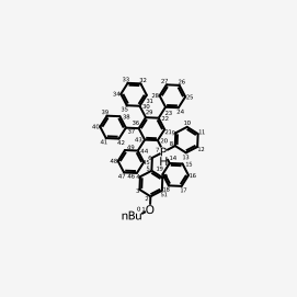 CCCCOc1ccc(C[PH](c2ccccc2)(c2ccccc2)c2cc(-c3ccccc3)c(-c3ccccc3)c(-c3ccccc3)c2-c2ccccc2)cc1